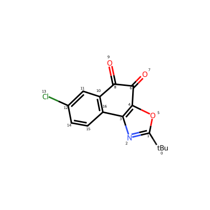 CC(C)(C)c1nc2c(o1)C(=O)C(=O)c1cc(Cl)ccc1-2